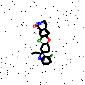 CC[C@H](N)[C@]1(c2ccccc2F)CC[C@@H](Oc2cc3cc[nH]c(=O)c3cc2Cl)CC1